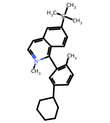 Cc1ccc(C2CCCCC2)cc1-c1c2ccc([Si](C)(C)C)cc2cc[n+]1C